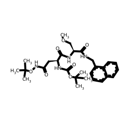 COC[C@H](NC(=O)[C@H](CC(=O)NOC(C)(C)C)NC(=O)OC(C)(C)C)C(=O)NCc1cccc2ccccc12